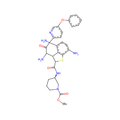 CC(C)(C)OC(=O)N1CCC[C@@H](NC(=O)C2Sc3c(N)ccc4c3C2C(N)C(=O)C4(N)c2ccc(Oc3ccccc3)cn2)C1